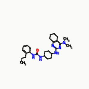 CCCc1ccccc1NC(=O)NC1CCC(Nc2nc3c(c(N(C)C)n2)CCCC3)CC1